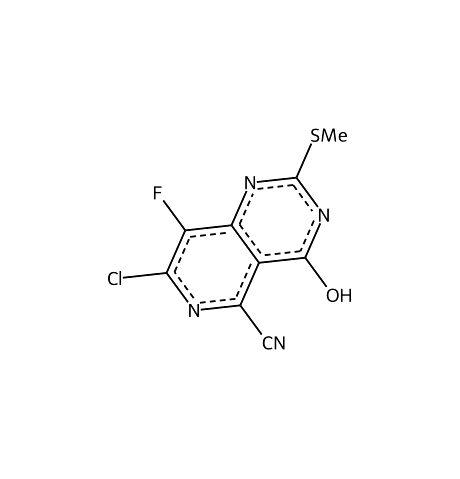 CSc1nc(O)c2c(C#N)nc(Cl)c(F)c2n1